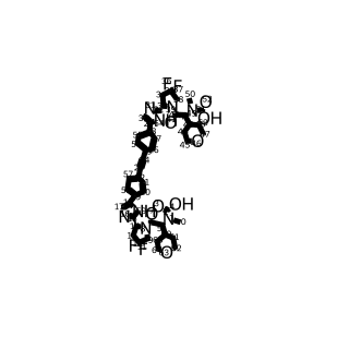 CN(C(=O)O)[C@@H](C(=O)N1CC(F)(F)C[C@H]1c1ncc(-c2ccc(C#Cc3ccc(-c4cnc([C@@H]5CC(F)(F)CN5C(=O)[C@@H](C5CCOCC5)N(C)C(=O)O)[nH]4)cc3)cc2)[nH]1)C1CCOCC1